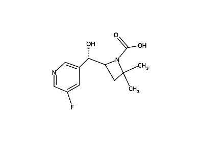 CC1(C)CC([C@@H](O)c2cncc(F)c2)N1C(=O)O